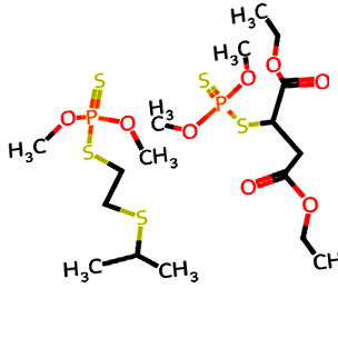 CCOC(=O)CC(SP(=S)(OC)OC)C(=O)OCC.COP(=S)(OC)SCCSC(C)C